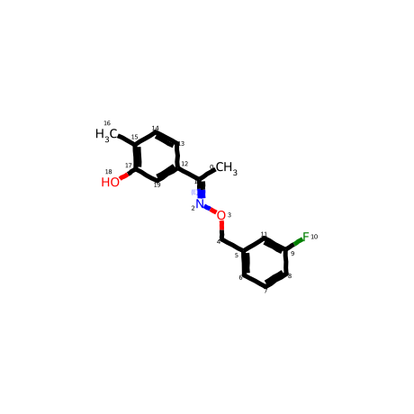 C/C(=N\OCc1cccc(F)c1)c1ccc(C)c(O)c1